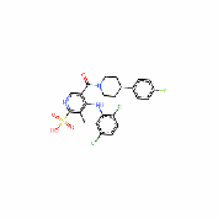 Cc1c(S(=O)(=O)O)ncc(C(=O)N2CCC(c3ccc(F)cc3)CC2)c1Nc1cc(Cl)ccc1Cl